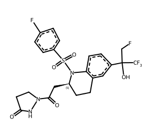 O=C1CCN(C(=O)C[C@@H]2CCc3cc(C(O)(CF)C(F)(F)F)ccc3N2S(=O)(=O)c2ccc(F)cc2)N1